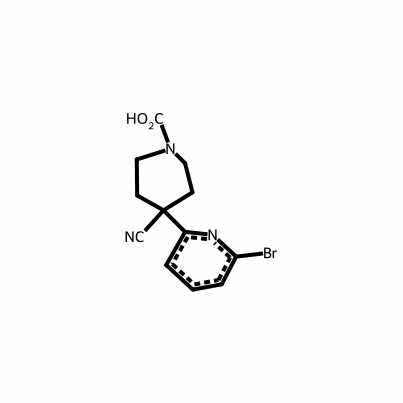 N#CC1(c2cccc(Br)n2)CCN(C(=O)O)CC1